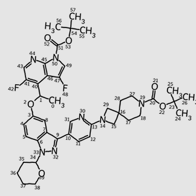 CC(Oc1ccc2c(c1)c(-c1ccc(N3CC4(CCN(C(=O)OC(C)(C)C)CC4)C3)nc1)nn2C1CCCCO1)c1c(F)cnc2c1c(F)cn2C(=O)OC(C)(C)C